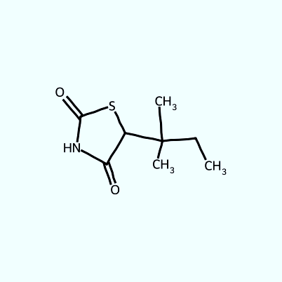 CCC(C)(C)C1SC(=O)NC1=O